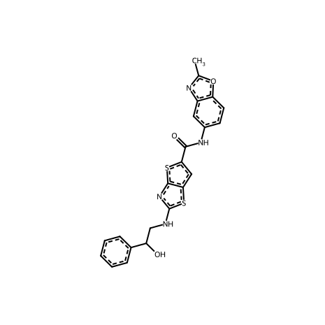 Cc1nc2cc(NC(=O)c3cc4sc(NCC(O)c5ccccc5)nc4s3)ccc2o1